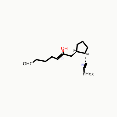 CCCCCC/C=C/[C@H]1CCC[C@@H]1C/C(O)=C/CCCC=O